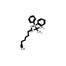 C#CCCCCCCO[Si](c1ccccc1)(c1ccccc1)C(C)(C)C